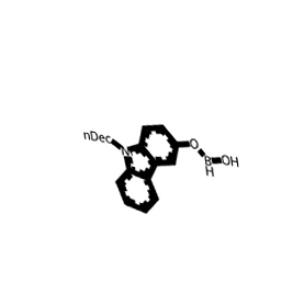 CCCCCCCCCCn1c2ccccc2c2cc(OBO)ccc21